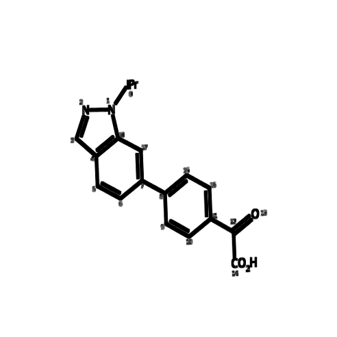 CC(C)n1ncc2ccc(-c3ccc(C(=O)C(=O)O)cc3)cc21